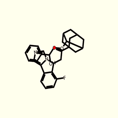 O=C(CC1c2c(F)cccc2-c2cncn21)C12CC3CC(C1)C(OCC(O)c1ccccc1)C(C3)C2